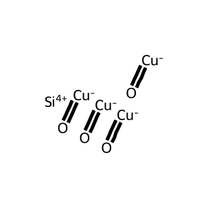 [O]=[Cu-].[O]=[Cu-].[O]=[Cu-].[O]=[Cu-].[Si+4]